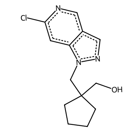 OCC1(Cn2ncc3cnc(Cl)cc32)CCCC1